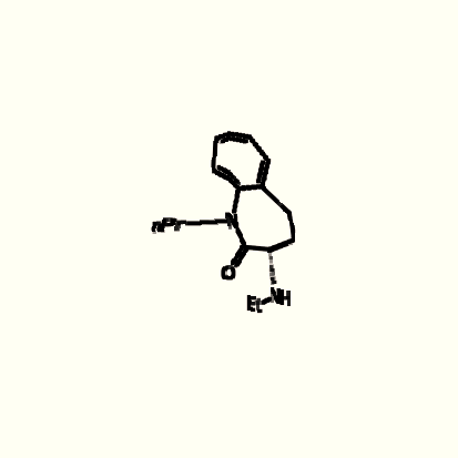 CCCN1C(=O)[C@@H](NCC)CCc2ccccc21